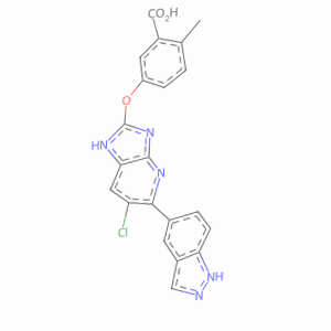 Cc1ccc(Oc2nc3nc(-c4ccc5[nH]ncc5c4)c(Cl)cc3[nH]2)cc1C(=O)O